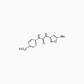 CCOC(=O)c1ccc(NC(=O)Nc2cc(C(C)(C)C)on2)cc1